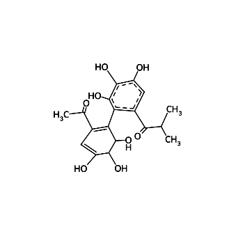 CC(=O)C1=C(c2c(C(=O)C(C)C)cc(O)c(O)c2O)C(O)C(O)C(O)=C1